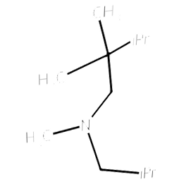 CC(C)CN(C)CC(C)(C)C(C)C